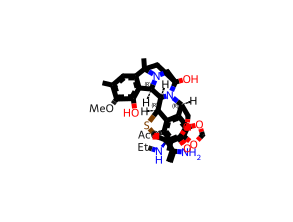 C=C(N)[C@]1(NCC)CS[C@@H]2c3c(OC(C)=O)c(C)c4c(c3[C@H](COC1=O)N1[C@@H]2[C@H]2c3c(cc(C)c(OC)c3O)C3(C)CC1(O)CN23)OCO4